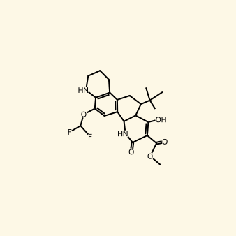 COC(=O)C1=C(O)C2C(NC1=O)c1cc(OC(F)F)c3c(c1CC2C(C)(C)C)CCCN3